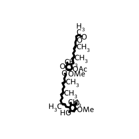 COC1=CC(O)C(C/C=C(\C)CC/C=C(\C)CC/C=C(\C)CCOC2=C(OC)C(OC(C)=O)C(C/C=C(\C)CC/C=C(\C)CC3CC(C)C(=O)O3)C(C)C2=O)C(C)C1=O